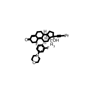 CC(C)C#C[C@]1(O)CC[C@H]2[C@@H]3CCC4=CC(=O)CCC4=C3[C@@H](c3c(F)cc(N4CCOCC4)cc3F)C[C@@]21C